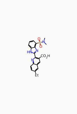 CCc1ccc2nc(-c3nc4c(S(=O)(=O)N(C)C)cccc4[nH]3)c(C(=O)O)cc2c1